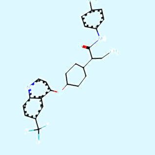 CCC(C(=O)Nc1ccc(C)cc1)C1CCC(Oc2ccnc3ccc(C(F)(F)F)cc23)CC1